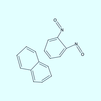 O=Nc1ccccc1N=O.c1ccc2ccccc2c1